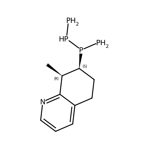 C[C@@H]1c2ncccc2CC[C@@H]1P(P)PP